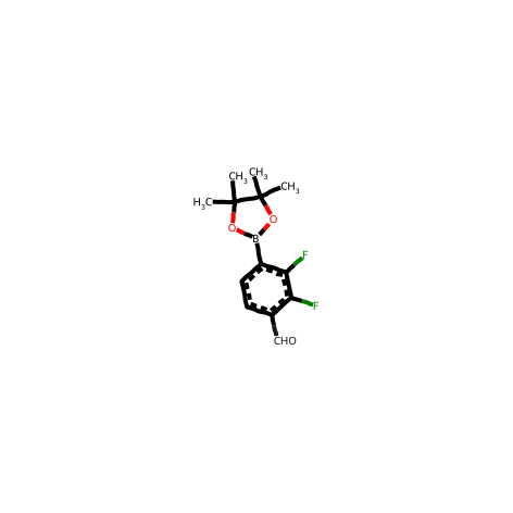 CC1(C)OB(c2ccc(C=O)c(F)c2F)OC1(C)C